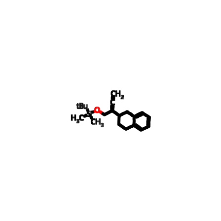 C=C=C(CO[Si](C)(C)C(C)(C)C)C1CCc2ccccc2C1